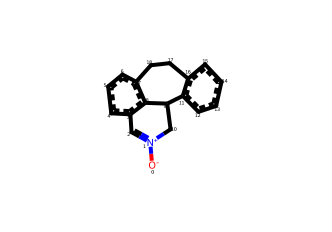 [O-][N+]1=Cc2cccc3c2C(C1)c1ccccc1CC3